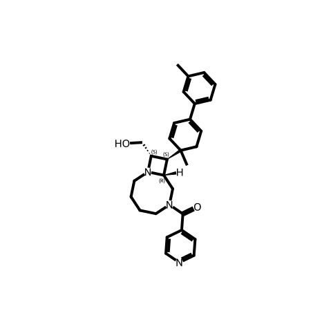 Cc1cccc(C2=CCC(C)([C@@H]3[C@@H](CO)N4CCCCN(C(=O)c5ccncc5)C[C@@H]34)C=C2)c1